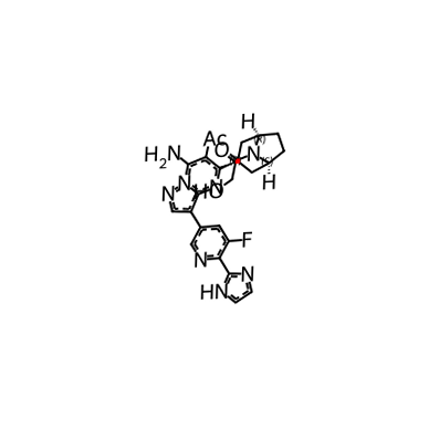 CC(=O)c1c([C@H]2C[C@H]3CC[C@@H](C2)N3C(=O)CO)nc2c(-c3cnc(-c4ncc[nH]4)c(F)c3)cnn2c1N